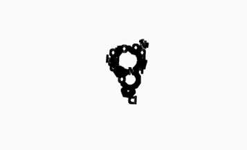 CN(C)C(=O)O[C@@]1(C)/C=C/COC(C)(C)C(=O)NS(=O)(=O)c2ccc3c(c2)N(CCCCc2cc(Cl)ccc2CO3)C[C@@H]2CC[C@H]21